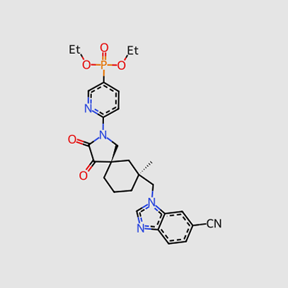 CCOP(=O)(OCC)c1ccc(N2C[C@@]3(CCC[C@](C)(Cn4cnc5ccc(C#N)cc54)C3)C(=O)C2=O)nc1